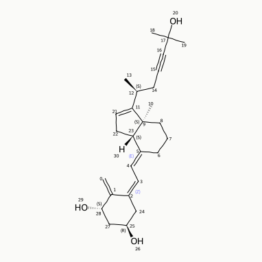 C=C1/C(=C\C=C2/CCC[C@]3(C)C([C@@H](C)CC#CC(C)(C)O)=CC[C@@H]23)C[C@@H](O)C[C@@H]1O